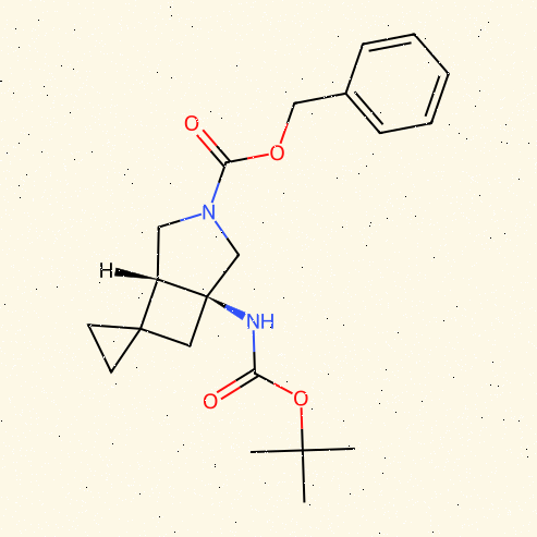 CC(C)(C)OC(=O)N[C@]12CN(C(=O)OCc3ccccc3)C[C@H]1C1(CC1)C2